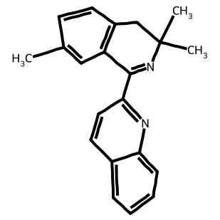 Cc1ccc2c(c1)C(c1ccc3ccccc3n1)=NC(C)(C)C2